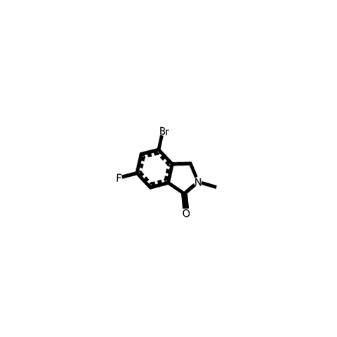 CN1Cc2c(Br)cc(F)cc2C1=O